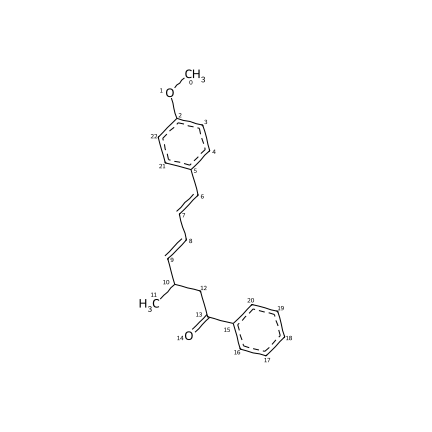 COc1ccc(/C=C/C=C/C(C)CC(=O)c2ccccc2)cc1